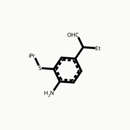 CCC(C=O)c1ccc(N)c(SC(C)C)c1